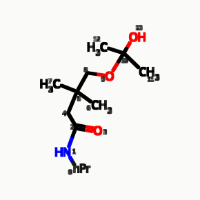 CCCNC(=O)CC(C)(C)COC(C)(C)O